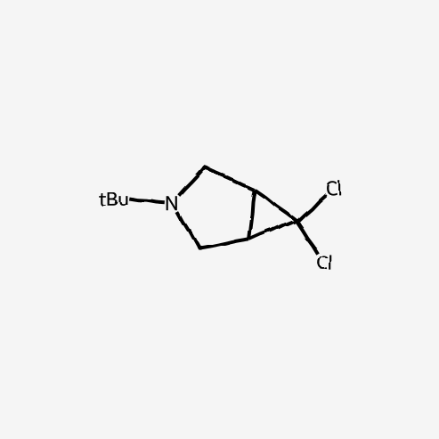 CC(C)(C)N1CC2C(C1)C2(Cl)Cl